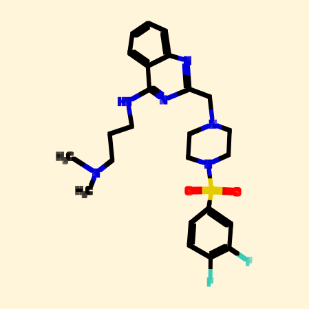 CN(C)CCCNc1nc(CN2CCN(S(=O)(=O)c3ccc(F)c(F)c3)CC2)nc2ccccc12